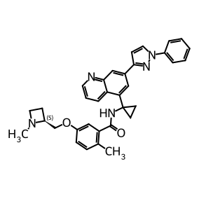 Cc1ccc(OC[C@@H]2CCN2C)cc1C(=O)NC1(c2cc(-c3ccn(-c4ccccc4)n3)cc3ncccc23)CC1